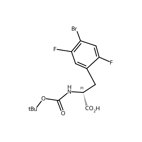 CC(C)(C)OC(=O)N[C@H](Cc1cc(F)c(Br)cc1F)C(=O)O